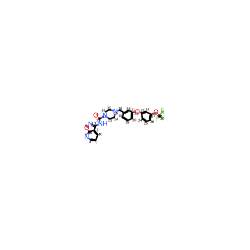 O=C(Nc1noc2ncccc12)N1CCN(Cc2cccc(Oc3cccc(OC(F)(F)F)c3)c2)CC1